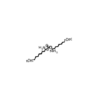 CCCCCCCCCCCCCCCCCC(N)O[N+](=O)OC(N)CCCCCCCCCCCCCCCCC